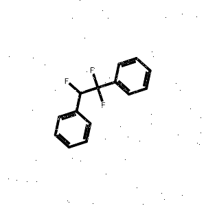 FC(c1ccccc1)C(F)(F)c1ccccc1